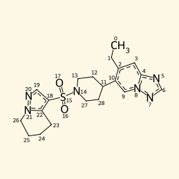 CCc1cc2ncnn2cc1C1CCN(S(=O)(=O)c2cnn3c2CCCC3)CC1